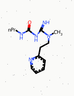 CCCNC(=O)NC(=N)N(C)CCc1ccccn1